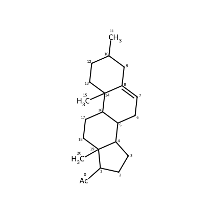 CC(=O)C1CCC2C3CC=C4CC(C)CCC4(C)C3CCC12C